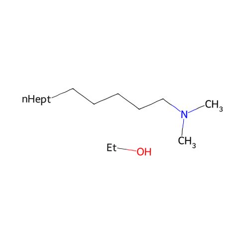 CCCCCCCCCCCCN(C)C.CCO